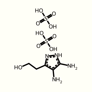 Nc1[nH]nc(CCO)c1N.O=S(=O)(O)O.O=S(=O)(O)O